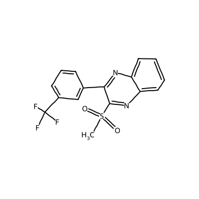 CS(=O)(=O)c1nc2ccccc2nc1-c1cccc(C(F)(F)F)c1